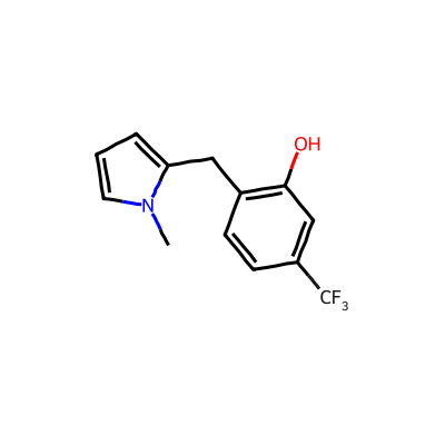 Cn1cccc1Cc1ccc(C(F)(F)F)cc1O